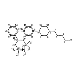 CCCCCC1CCC(c2ccc(-c3ccccc3C3CC(C)(C)N(C)C(C)(C)C3)cc2)CC1